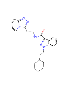 O=C(NCCc1nnc2ccccn12)c1nn(CCC2CCCCC2)c2ccccc12